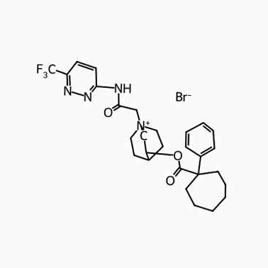 O=C(C[N+]12CCC(CC1)C(OC(=O)C1(c3ccccc3)CCCCCC1)C2)Nc1ccc(C(F)(F)F)nn1.[Br-]